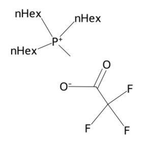 CCCCCC[P+](C)(CCCCCC)CCCCCC.O=C([O-])C(F)(F)F